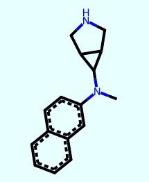 CN(c1ccc2ccccc2c1)C1C2CNCC21